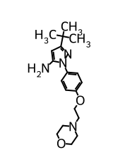 CC(C)(C)c1cc(N)n(-c2ccc(OCCN3CCOCC3)cc2)n1